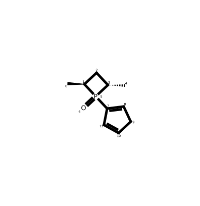 C[C@H]1C[C@H](C)P1(=O)C1=CCC=C1